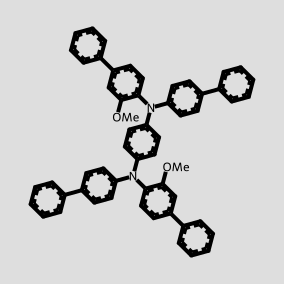 COc1cc(-c2ccccc2)ccc1N(c1ccc(-c2ccccc2)cc1)c1ccc(N(c2ccc(-c3ccccc3)cc2)c2ccc(-c3ccccc3)cc2OC)cc1